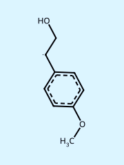 COc1ccc([CH]CO)cc1